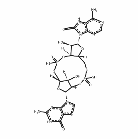 Nc1nc2c(ncn2[C@@H]2O[C@@H]3OP(=O)(S)O[C@H]4[C@@H](O)[C@H](n5c(=O)[nH]c6c(N)ncnc65)O[C@@H]4COP(=O)(S)O[C@@H]2[C@@H]3O)c(=O)[nH]1